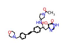 CC(=O)N1CC[C@H](NC[C@@H](Cc2nc[nH]c(=O)c2O)c2ccc(C#Cc3ccc(CN4CCOCC4)cc3)cc2)C1